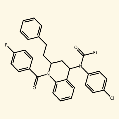 CCC(=O)N(c1ccc(Cl)cc1)C1CC(CCc2ccccc2)N(C(=O)c2ccc(F)cc2)c2ccccc21